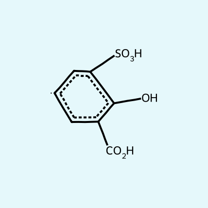 O=C(O)c1c[c]cc(S(=O)(=O)O)c1O